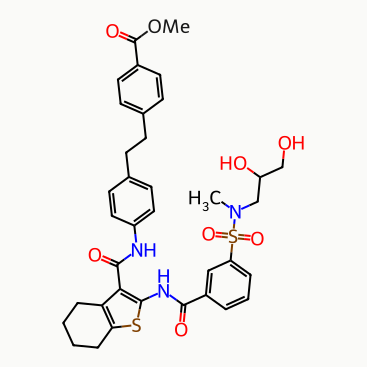 COC(=O)c1ccc(CCc2ccc(NC(=O)c3c(NC(=O)c4cccc(S(=O)(=O)N(C)CC(O)CO)c4)sc4c3CCCC4)cc2)cc1